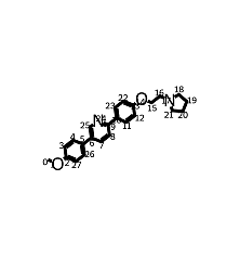 COc1ccc(-c2ccc(-c3ccc(OCCN4CCCC4)cc3)nc2)cc1